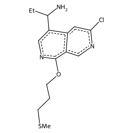 CCC(N)c1cnc(OCCCSC)c2cnc(Cl)cc12